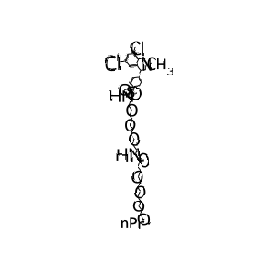 CCCOCCOCCOCCOCCC(=O)NCCOCCOCCOCCNS(=O)(=O)c1ccc(C2CN(C)Cc3c(Cl)cc(Cl)cc32)cc1